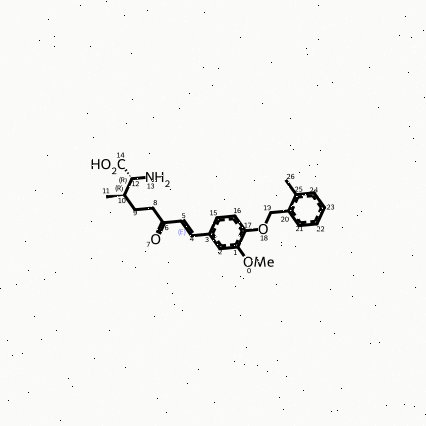 COc1cc(/C=C/C(=O)CC[C@@H](C)[C@@H](N)C(=O)O)ccc1OCc1ccccc1C